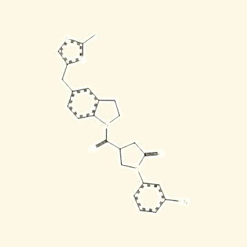 Cc1ncc(Cc2ccc3c(c2)CCN3C(=O)C2CC(=O)N(c3cccc(C#N)c3)C2)o1